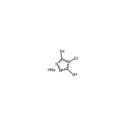 CCn1c(S)nnc1S.[NaH]